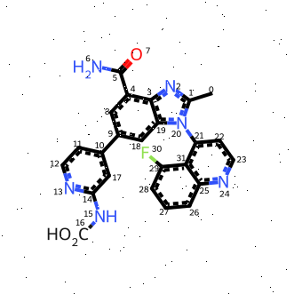 Cc1nc2c(C(N)=O)cc(-c3ccnc(NC(=O)O)c3)cc2n1-c1ccnc2cccc(F)c12